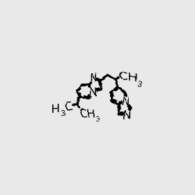 CC(C)c1ccc2nc(CC(C)c3ccc4cncn4c3)cn2c1